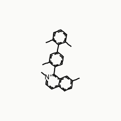 Cc1ccc2cc[n+](C)c(-c3ccc(-c4c(C)cccc4C)cc3C)c2c1